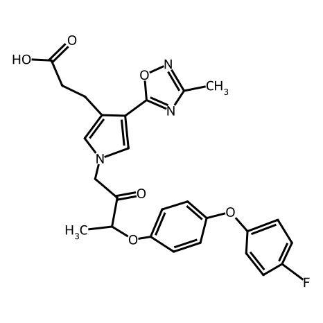 Cc1noc(-c2cn(CC(=O)C(C)Oc3ccc(Oc4ccc(F)cc4)cc3)cc2CCC(=O)O)n1